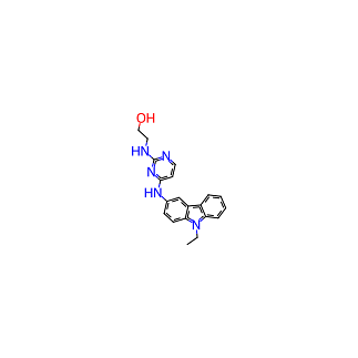 CCn1c2ccccc2c2cc(Nc3ccnc(NCCO)n3)ccc21